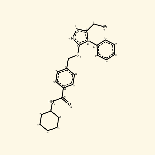 CC(C)Cc1nnc(SCc2ccc(C(=O)NC3CCCCC3)cc2)n1-c1ccccc1